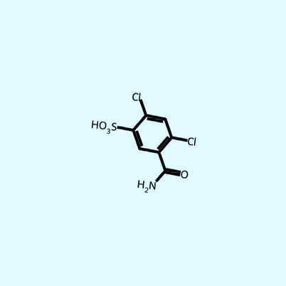 NC(=O)c1cc(S(=O)(=O)O)c(Cl)cc1Cl